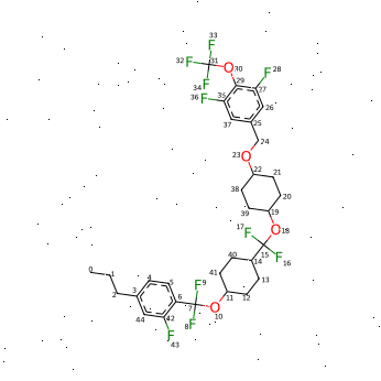 CCCc1ccc(C(F)(F)OC2CCC(C(F)(F)OC3CCC(OCc4cc(F)c(OC(F)(F)F)c(F)c4)CC3)CC2)c(F)c1